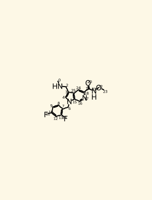 CNCc1cn(Cc2ccc(F)cc2F)c2cnc(C(=O)NOC)cc12